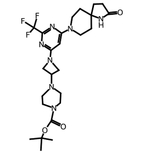 CC(C)(C)OC(=O)N1CCN(C2CN(c3cc(N4CCC5(CCC(=O)N5)CC4)nc(C(F)(F)F)n3)C2)CC1